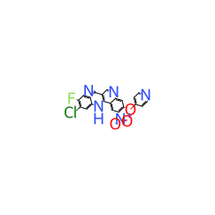 N#Cc1cnc2cc(Oc3ccncc3)c([N+](=O)[O-])cc2c1Nc1ccc(F)c(Cl)c1